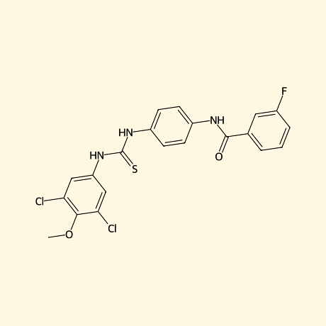 COc1c(Cl)cc(NC(=S)Nc2ccc(NC(=O)c3cccc(F)c3)cc2)cc1Cl